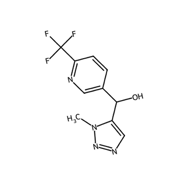 Cn1nncc1C(O)c1ccc(C(F)(F)F)nc1